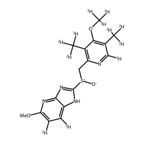 [2H]c1nc(C[S+]([O-])c2nc3nc(OC)c([2H])c([2H])c3[nH]2)c(C([2H])([2H])[2H])c(OC([2H])([2H])[2H])c1C([2H])([2H])[2H]